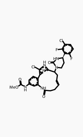 COC(=O)Nc1ccc2c(c1)NC(=O)CC/C=C/CC(N1CC[C@H](c3c(F)ccc(Cl)c3F)NC1=O)c1nc-2c(Cl)[nH]1